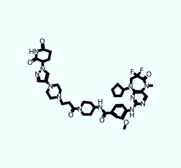 COc1cc(C(=O)NC2CCN(C(=O)CCN3CCN(c4cnn(C5CCC(=O)NC5=O)c4)CC3)CC2)ccc1Nc1ncc2c(n1)N(C1CCCC1)CC(F)(F)C(=O)N2C